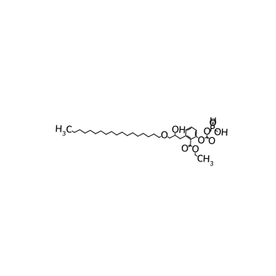 CCCCCCCCCCCCCCCCCCOCC(O)Cc1cccc(OC(=O)O[PH](=O)O)c1C(=O)OCC